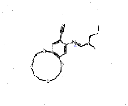 CCCN(C)/C=N/c1cc2c(cc1C#N)OCCOCCOCCO2